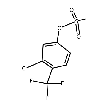 CS(=O)(=O)Oc1ccc(C(F)(F)F)c(Cl)c1